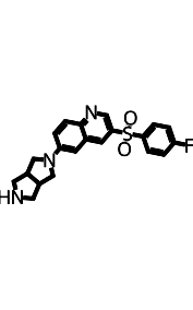 O=S(=O)(c1ccc(F)cc1)c1cnc2ccc(N3CC4CNCC4C3)cc2c1